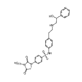 CCCCCCCCN1C(=O)CN(c2ccc(S(=O)(=O)Nc3ccc(CCNCC(O)c4cccnc4)cc3)cc2)C1=O